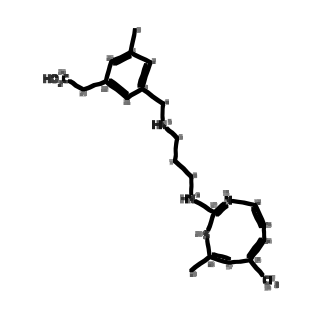 Cc1cc(CNCCCNc2ncccc(C(F)(F)F)cc(C)s2)cc(CC(=O)O)c1